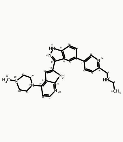 CCNCc1ccc(-c2ccc3[nH]nc(-c4cc5c(N6CCN(C)CC6)ccnc5[nH]4)c3c2)cn1